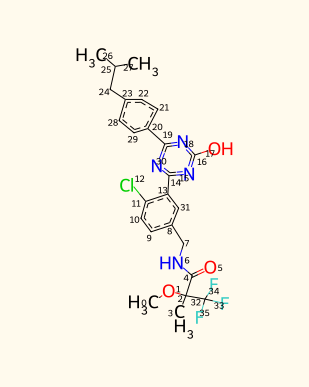 COC(C)(C(=O)NCc1ccc(Cl)c(-c2nc(O)nc(-c3ccc(CC(C)C)cc3)n2)c1)C(F)(F)F